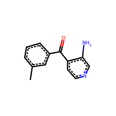 Cc1cccc(C(=O)c2ccncc2N)c1